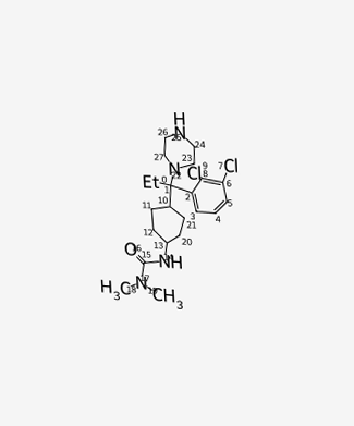 CCC(c1cccc(Cl)c1Cl)(C1CCC(NC(=O)N(C)C)CC1)N1CCNCC1